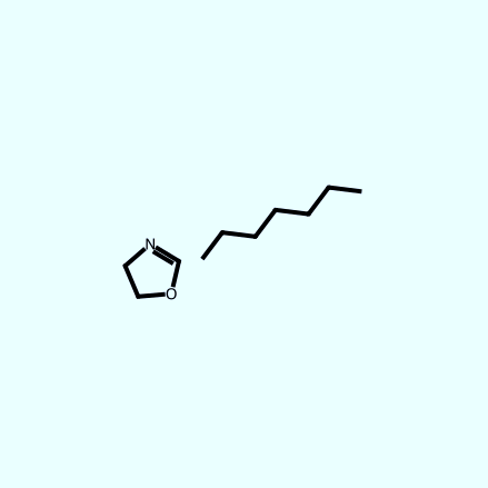 C1=NCCO1.CCCCCCC